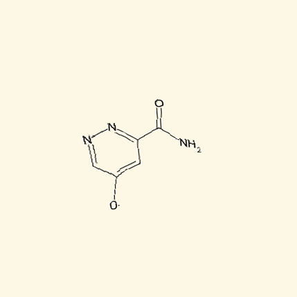 NC(=O)c1cc([O])cnn1